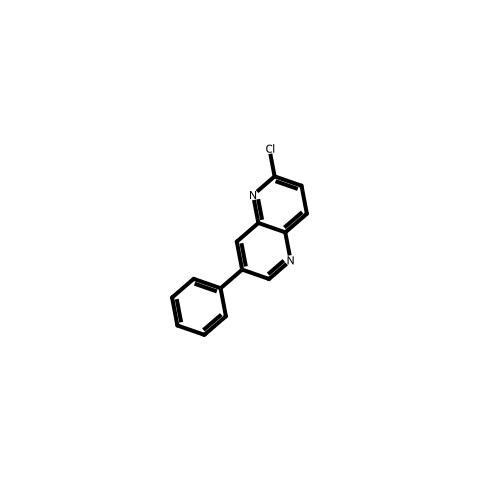 Clc1ccc2ncc(-c3ccccc3)cc2n1